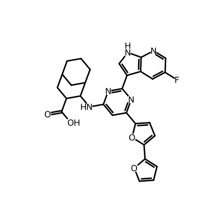 O=C(O)C1CC2CCCC(C2)C1Nc1cc(-c2ccc(-c3ccco3)o2)nc(-c2c[nH]c3ncc(F)cc23)n1